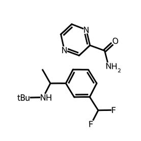 CC(NC(C)(C)C)c1cccc(C(F)F)c1.NC(=O)c1cnccn1